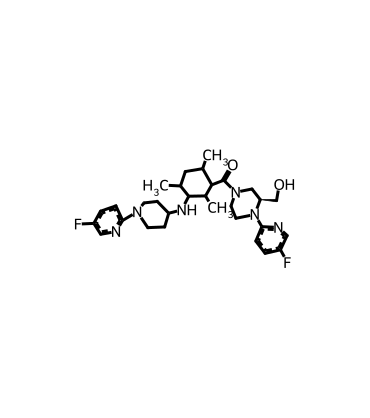 CC1CC(C)C(C(=O)N2CCN(c3ccc(F)cn3)[C@H](CO)C2)C(C)C1NC1CCN(c2ccc(F)cn2)CC1